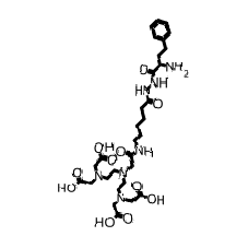 NC(CCc1ccccc1)C(=O)NNC(=O)CCCCCNC(=O)CN(CCN(CC(=O)O)CC(=O)O)CCN(CC(=O)O)CC(=O)O